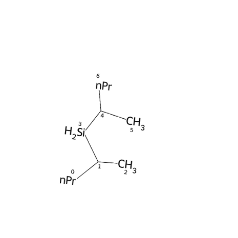 CCCC(C)[SiH2]C(C)CCC